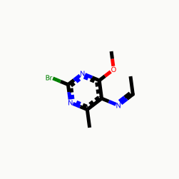 C/C=N\c1c(C)nc(Br)nc1OC